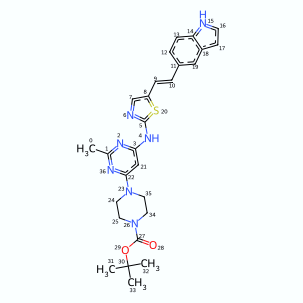 Cc1nc(Nc2ncc(C=Cc3ccc4[nH]ccc4c3)s2)cc(N2CCN(C(=O)OC(C)(C)C)CC2)n1